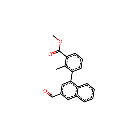 COC(=O)c1cccc(-c2cc(C=O)cc3ccccc23)c1C